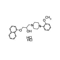 COc1ccccc1N1CCN(CC(O)COc2cccc3ccccc23)CC1.Cl.Cl